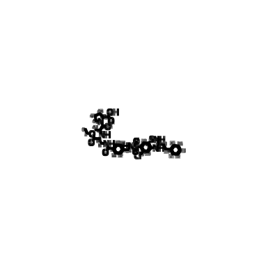 CCOC(=O)[C@H](CNC(=O)c1ccc(CNS(=O)(=O)c2cc3c(cc2Cl)N[C@H](CCc2ccccc2)NS3)cc1)NC(C)C(=O)N1CCC[C@H]1C(=O)O